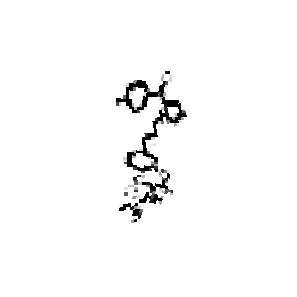 Cc1ccc(C(=O)c2cccn2C/C=C/c2cccc(O[C@@H](C)C(=O)NS(C)(=O)=O)c2)cc1